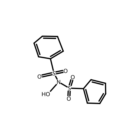 O=S(=O)(c1ccccc1)N(O)S(=O)(=O)c1ccccc1